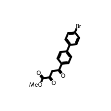 COC(=O)C(=O)CC(=O)c1ccc(-c2ccc(Br)cc2)cc1